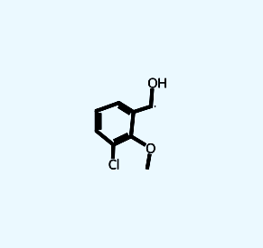 COc1c(Cl)cccc1[CH]O